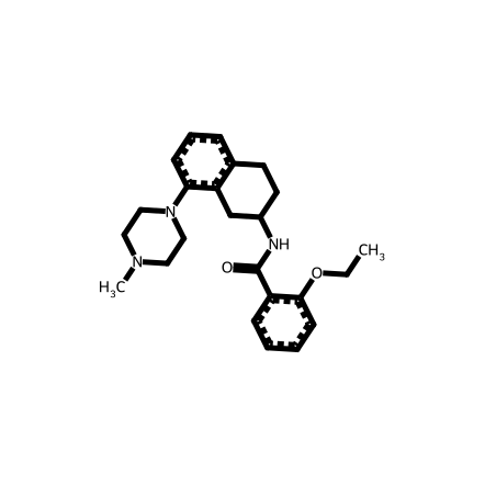 CCOc1ccccc1C(=O)NC1CCc2cccc(N3CCN(C)CC3)c2C1